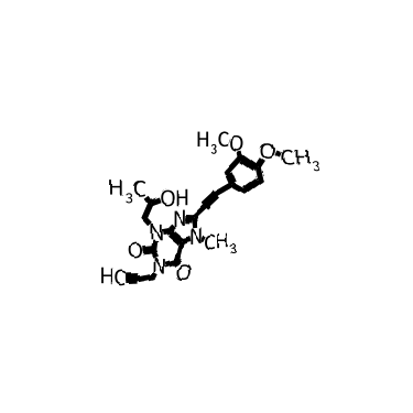 C#CCn1c(=O)c2c(nc(C#Cc3ccc(OC)c(OC)c3)n2C)n(CC(C)O)c1=O